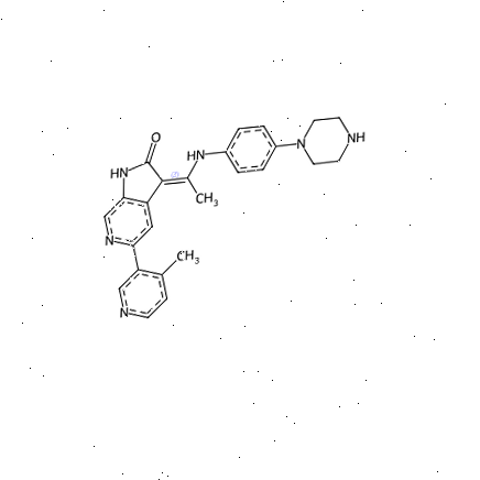 C/C(Nc1ccc(N2CCNCC2)cc1)=C1/C(=O)Nc2cnc(-c3cnccc3C)cc21